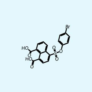 O=C(O)c1cccc2c(S(=O)(=O)Oc3ccc(Br)cc3)ccc(C(=O)O)c12